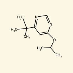 CC(C)Oc1cc(C(C)(C)C)ncn1